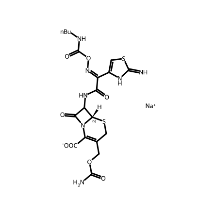 CCCCNC(=O)ON=C(C(=O)NC1C(=O)N2C(C(=O)[O-])=C(COC(N)=O)CS[C@@H]12)c1csc(=N)[nH]1.[Na+]